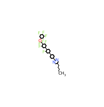 CCCCCc1cnc(-c2ccc(-c3ccc(-c4cc(F)c(C(F)(F)Oc5cc(F)c(F)c(F)c5)c(F)c4)c(F)c3)cc2)nc1